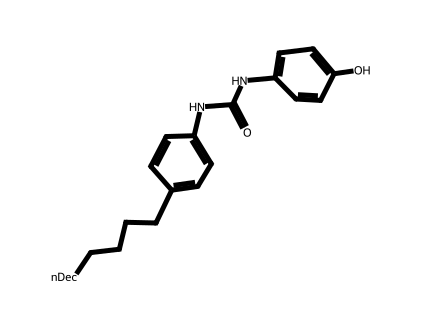 CCCCCCCCCCCCCCc1ccc(NC(=O)Nc2ccc(O)cc2)cc1